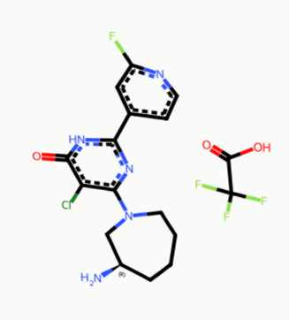 N[C@@H]1CCCCN(c2nc(-c3ccnc(F)c3)[nH]c(=O)c2Cl)C1.O=C(O)C(F)(F)F